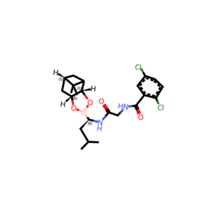 CC(C)C[C@H](NC(=O)CNC(=O)c1cc(Cl)ccc1Cl)B1O[C@@H]2C[C@@H]3CC([C@@H]2O1)C3(C)C